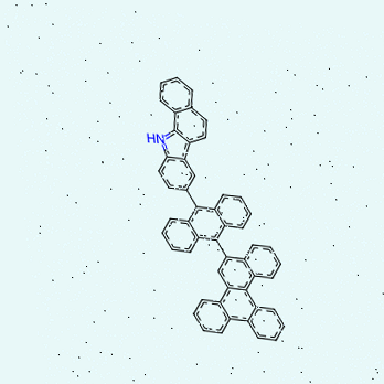 c1ccc2c(c1)ccc1c3cc(-c4c5ccccc5c(-c5cc6c7ccccc7c7ccccc7c6c6ccccc56)c5ccccc45)ccc3[nH]c21